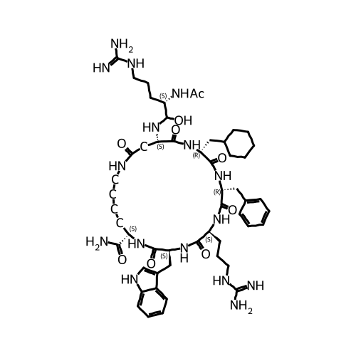 CC(=O)N[C@@H](CCCNC(=N)N)C(O)N[C@H]1CC(=O)NCCCC[C@@H](C(N)=O)NC(=O)[C@H](Cc2c[nH]c3ccccc23)NC(=O)[C@H](CCCNC(=N)N)NC(=O)[C@@H](Cc2ccccc2)NC(=O)[C@@H](CC2CCCCC2)NC1=O